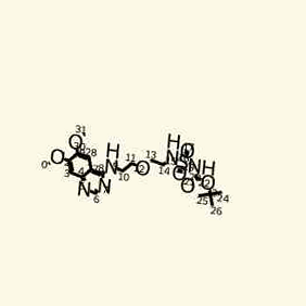 COc1cc2ncnc(NCCOCCNS(=O)(=O)NC(=O)OC(C)(C)C)c2cc1OC